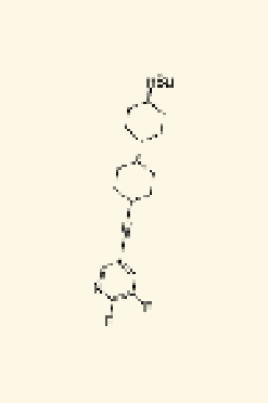 CCCC[C@H]1CC[C@H](C2CCC(C#Cc3cnc(F)c(F)c3)CC2)CC1